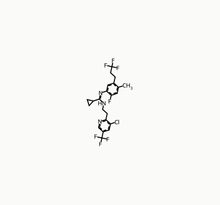 Cc1cc(F)c(/N=C(\NCCc2ncc(C(F)(F)F)cc2Cl)C2CC2)cc1CCC(F)(F)F